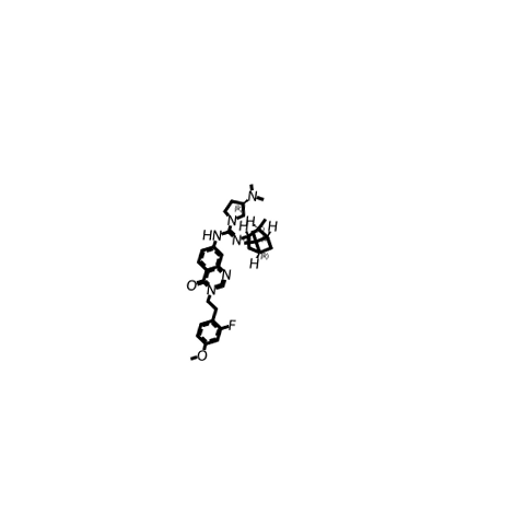 COc1ccc(CCn2cnc3cc(NC(=N[C@H]4C[C@H]5C[C@@H]([C@@H]4C)C5(C)C)N4CC[C@@H](N(C)C)C4)ccc3c2=O)c(F)c1